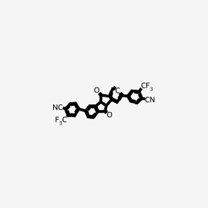 N#Cc1ccc(-c2ccc3c(c2)C2C(=O)c4ccc(-c5ccc(C#N)c(C(F)(F)F)c5)cc4C2C3=O)cc1C(F)(F)F